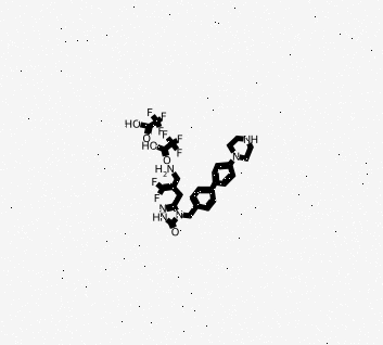 NCC(Cc1n[nH]c(=O)n1Cc1ccc(-c2ccc(N3CCNCC3)cc2)cc1)=C(F)F.O=C(O)C(F)(F)F.O=C(O)C(F)(F)F